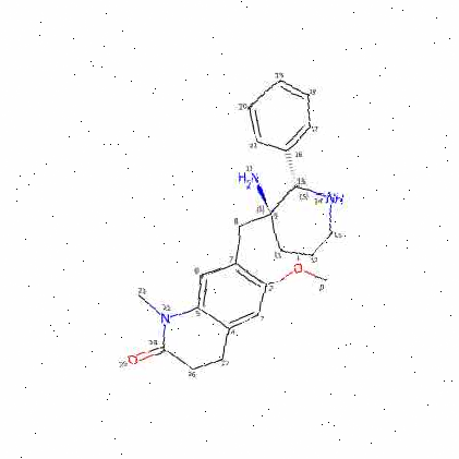 COc1cc2c(cc1C[C@@]1(N)CCCN[C@H]1c1ccccc1)N(C)C(=O)CC2